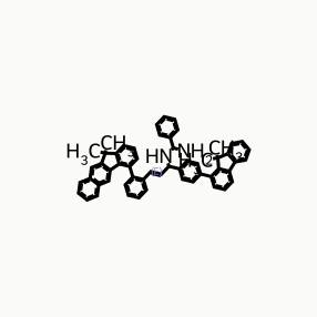 CC1(C)c2cc3ccccc3cc2-c2c(-c3ccccc3/C=C/C(NC(N)c3ccccc3)c3ccc(-c4cccc5c4C(C)(C)c4ccccc4-5)cc3)cccc21